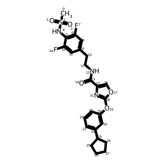 CS(=O)(=O)Nc1c(F)cc(CCNC(=O)c2coc(Oc3cccc(C4CCCC4)c3)n2)cc1F